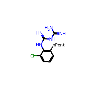 CCCCCc1cccc(Cl)c1NC(=N)NC(=N)N